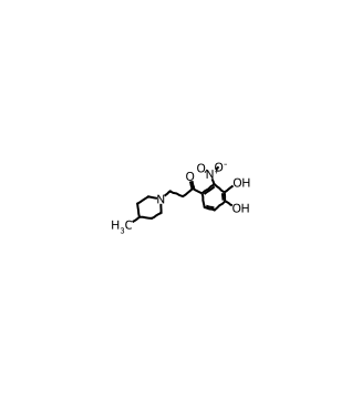 CC1CCN(CCC(=O)c2ccc(O)c(O)c2[N+](=O)[O-])CC1